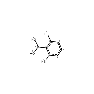 OB(O)c1c(S)cccc1S